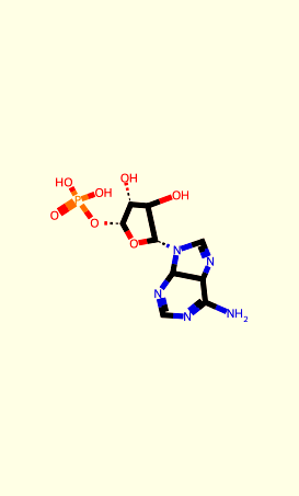 NC1=NC=NC2C1N=CN2[C@@H]1O[C@H](OP(=O)(O)O)[C@H](O)C1O